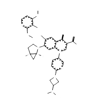 COc1ccnc(OC[C@H]2C[C@H]3C[C@H]3N2c2cc3c(cc2Cl)c(=O)c(C(=O)O)cn3-c2ccc(N3CC(N(C)C)C3)nc2)c1F